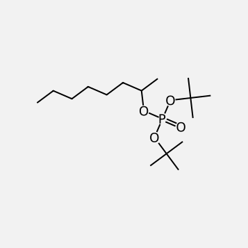 CCCCCCC(C)OP(=O)(OC(C)(C)C)OC(C)(C)C